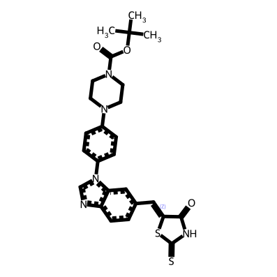 CC(C)(C)OC(=O)N1CCN(c2ccc(-n3cnc4ccc(/C=C5\SC(=S)NC5=O)cc43)cc2)CC1